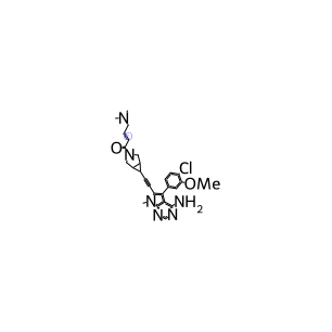 COc1cc(-c2c(C#CC3C4CN(C(=O)/C=C/CN(C)C)CC34)n(C)c3ncnc(N)c23)ccc1Cl